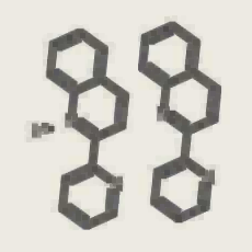 [Ir+3].c1ccc(-c2ccc3ccccc3n2)nc1.c1ccc(-c2ccc3ccccc3n2)nc1